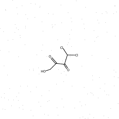 O=C(CO)C(=O)C(Cl)Cl